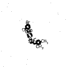 Cc1cc(C)c(Cc2csc(N3CCN(S(=O)(=O)c4ccc(Br)cc4Cl)CC3)n2)c(C)c1